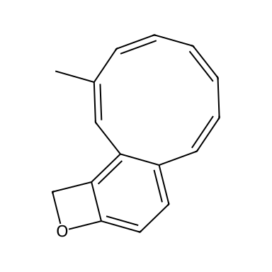 Cc1ccccccc2ccc3c(c2c1)CO3